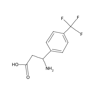 NC(CC(=O)O)c1ccc(C(F)(F)F)cc1